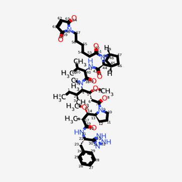 CC[C@H](C)[C@@H]([C@@H](CC(=O)N1CCC[C@H]1[C@H](OC)[C@@H](C)C(=O)N[C@@H](Cc1ccccc1)c1n[nH][nH]1)OC)N(C)C(=O)[C@@H](NC(=O)[C@@H]1[C@H]2CC[C@H](C2)N1C(=O)CCCCCN1C(=O)C=CC1=O)C(C)C